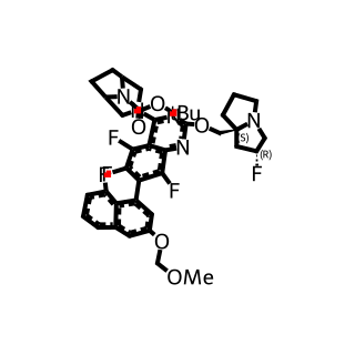 COCOc1cc(-c2c(F)c(F)c3c(N4CC5CCC(C4)N5C(=O)OC(C)(C)C)nc(OC[C@@]45CCCN4C[C@H](F)C5)nc3c2F)c2c(F)cccc2c1